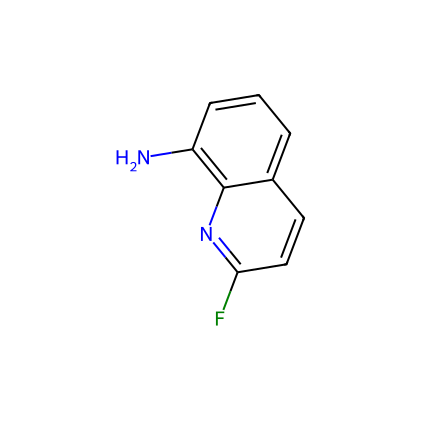 Nc1cccc2ccc(F)nc12